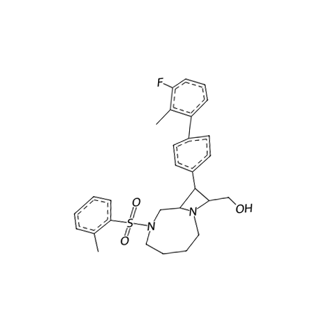 Cc1ccccc1S(=O)(=O)N1CCCCN2C(CO)C(c3ccc(-c4cccc(F)c4C)cc3)C2C1